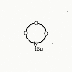 CC(C)(C)N1CCOCCOCCOCC1